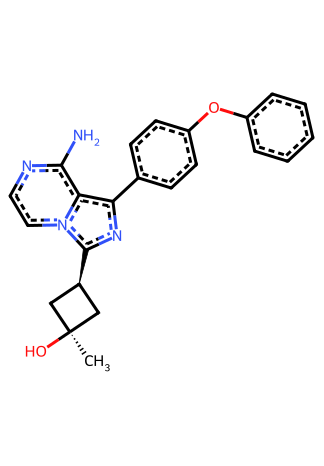 C[C@]1(O)C[C@@H](c2nc(-c3ccc(Oc4ccccc4)cc3)c3c(N)nccn32)C1